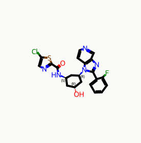 O=C(N[C@@H]1C[C@@H](O)C[C@H](n2c(-c3ccccc3F)nc3cnccc32)C1)c1ncc(Cl)s1